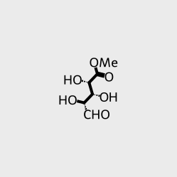 COC(=O)[C@@H](O)[C@H](O)[C@@H](O)C=O